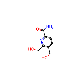 NC(=O)c1ccc(CO)c(CO)n1